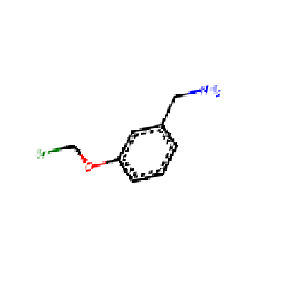 NCc1cccc(OCBr)c1